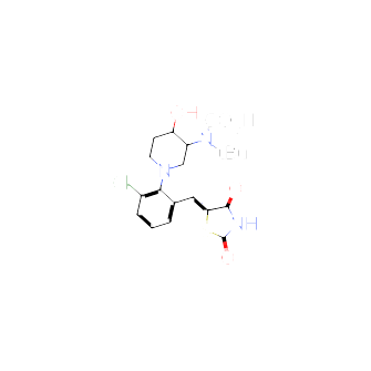 CC(C)(C)N(C(=O)O)C1CN(c2c(Cl)cccc2/C=C2\SC(=O)NC2=O)CCC1O